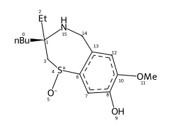 CCCC[C@]1(CC)C[S+]([O-])c2cc(O)c(OC)cc2CN1